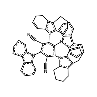 N#Cc1c(-n2c3c(c4c2C=CCC4)CCC=C3)c(-n2c3ccccc3c3ccccc32)c(-n2c3c(c4c2CCCC4)CCC=C3)c(C#N)c1-n1c2ccccc2c2ccccc21